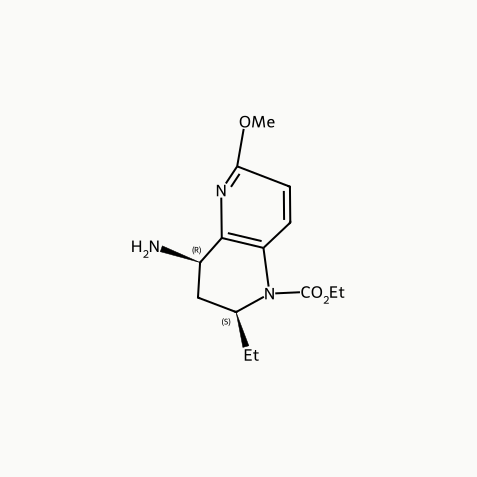 CCOC(=O)N1c2ccc(OC)nc2[C@H](N)C[C@@H]1CC